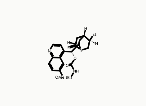 CC[C@H]1CN2C(=S)C[C@H]1C[C@H]2[C@H](OC(=O)NC(C)(C)C)c1ccnc2ccc(OC)cc12